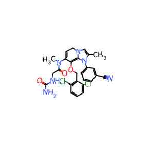 CC1=CN2CC=C(N(C)C(=O)CNC(N)=O)C(OCc3c(Cl)cccc3Cl)=C2N1c1cccc(C#N)c1